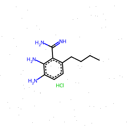 CCCCc1ccc(N)c(N)c1C(=N)N.Cl